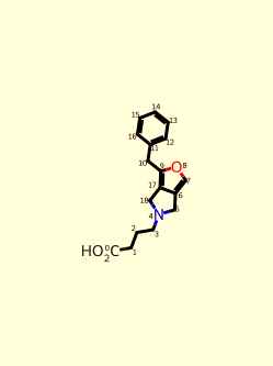 O=C(O)CCCN1Cc2coc(Cc3ccccc3)c2C1